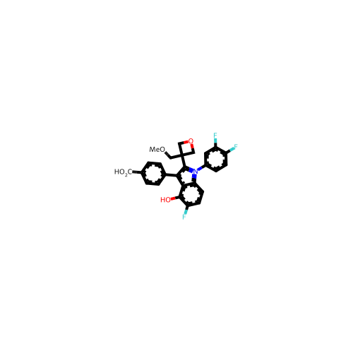 COCC1(c2c(-c3ccc(C(=O)O)cc3)c3c(O)c(F)ccc3n2-c2ccc(F)c(F)c2)COC1